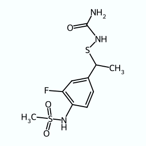 CC(SNC(N)=O)c1ccc(NS(C)(=O)=O)c(F)c1